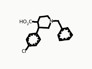 O=C(O)C1CCN(Cc2ccccc2)CC1c1ccc(Cl)cc1